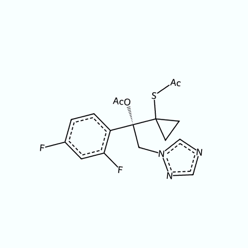 CC(=O)O[C@](Cn1cncn1)(c1ccc(F)cc1F)C1(SC(C)=O)CC1